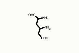 NC(C=O)CC(N)CC=O